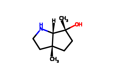 C[C@@]12CCN[C@@H]1[C@](C)(O)CC2